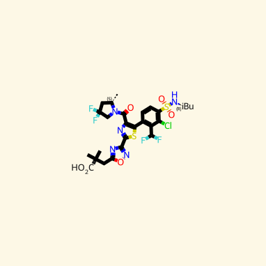 CC[C@@H](C)NS(=O)(=O)c1ccc(-c2sc(-c3noc(CC(C)(C)C(=O)O)n3)nc2C(=O)N2CC(F)(F)C[C@@H]2C)c(C(F)F)c1Cl